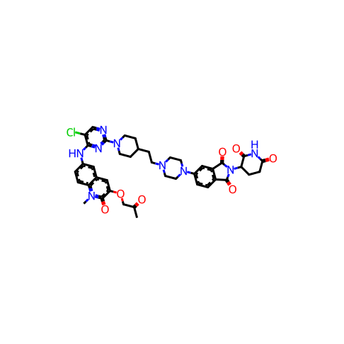 CC(=O)COc1cc2cc(Nc3nc(N4CCC(CCN5CCN(c6ccc7c(c6)C(=O)N(C6CCC(=O)NC6=O)C7=O)CC5)CC4)ncc3Cl)ccc2n(C)c1=O